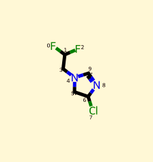 FC(F)CN1[C]C(Cl)N=[C]1